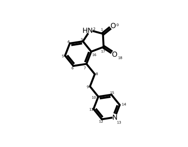 O=C1Nc2cccc(CCc3ccncc3)c2C1=O